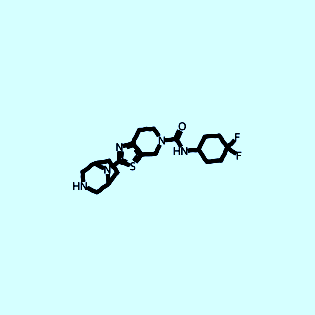 O=C(NC1CCC(F)(F)CC1)N1CCc2nc(N3C4CCC3CNC4)sc2C1